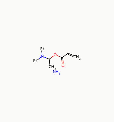 C=CC(=O)OC(C)N(CC)CC.N